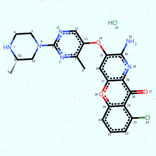 Cc1nc(N2CCN[C@@H](C)C2)ncc1Oc1cc2oc3cccc(Cl)c3c(=O)c2nc1N.Cl